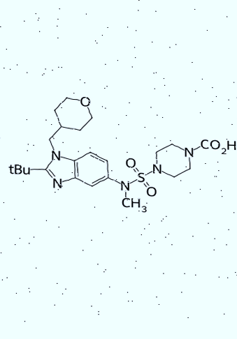 CN(c1ccc2c(c1)nc(C(C)(C)C)n2CC1CCOCC1)S(=O)(=O)N1CCN(C(=O)O)CC1